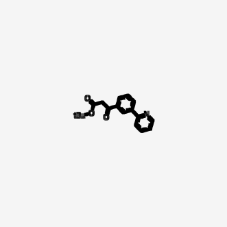 CC(C)(C)OC(=O)CC(=O)c1cccc(-c2ccccn2)c1